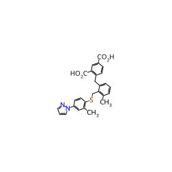 Cc1cc(-n2cccn2)ccc1SCc1c(C)cccc1Cc1ccc(C(=O)O)cc1C(=O)O